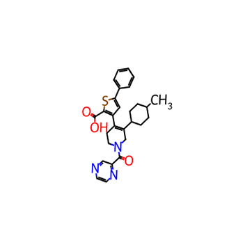 CC1CCC(C2=C(c3cc(-c4ccccc4)sc3C(=O)O)CCN(C(=O)c3cnccn3)C2)CC1